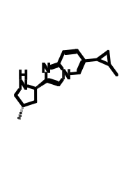 CC1CC1c1ccc2nc([C@H]3C[C@H](C)CN3)cn2c1